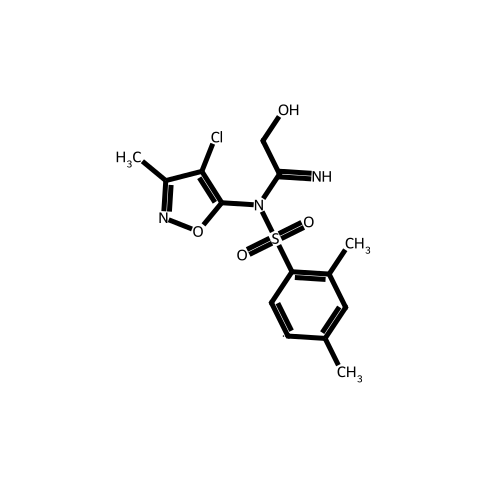 Cc1[c]cc(S(=O)(=O)N(C(=N)CO)c2onc(C)c2Cl)c(C)c1